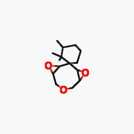 CC1CCCC2(C3OC3COCC3OC32)C1(C)C